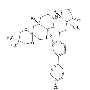 CC1(C)COC2(CC[C@@]34Cc5cc(-c6ccc(C#N)cc6)ccc5C5C[C@]6(C)C(=O)CC[C@H]6[C@H](CC[C@@]3(O)C2)C54)OC1